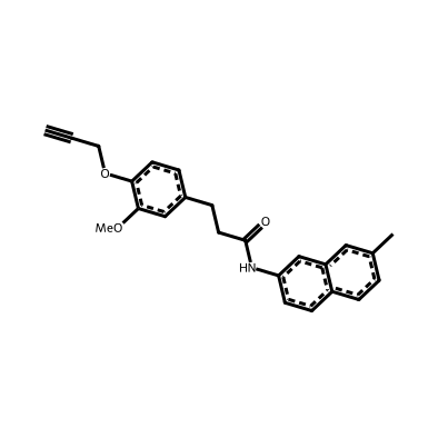 C#CCOc1ccc(CCC(=O)Nc2ccc3ccc(C)cc3c2)cc1OC